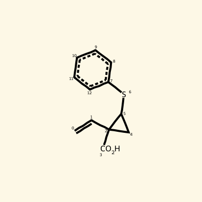 C=CC1(C(=O)O)CC1Sc1ccccc1